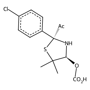 CC(=O)[C@]1(c2ccc(Cl)cc2)N[C@@H](OC(=O)O)C(C)(C)S1